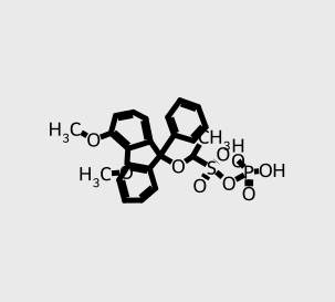 COc1cccc(C(OC(C)S(=O)(=O)OP(=O)(O)O)(c2ccccc2)c2ccccc2)c1OC